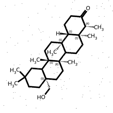 C[C@H]1C(=O)CC[C@@H]2[C@]1(C)CCC1[C@@]2(C)CC[C@@]2(C)C3CC(C)(C)CC[C@]3(CO)CC[C@]12C